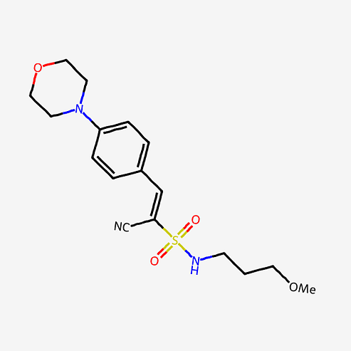 COCCCNS(=O)(=O)/C(C#N)=C/c1ccc(N2CCOCC2)cc1